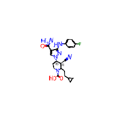 N#C[C@H]1C(CCC2CC2)N(C(=O)O)CC[C@H]1n1cc(C(N)=O)c(Nc2ccc(F)cc2)n1